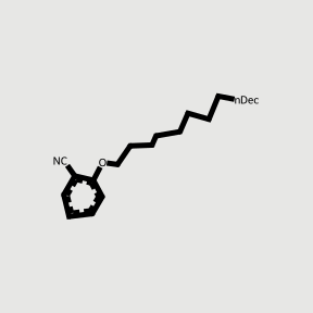 CCCCCCCCCCCCCCCCCCOc1ccccc1C#N